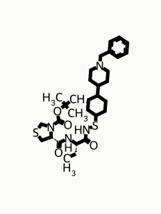 CC[C@H](NC(=O)[C@@H]1CSCN1C(=O)OC(C)(C)C)C(=O)NSC1CCC(C2CCN(Cc3ccccc3)CC2)CC1